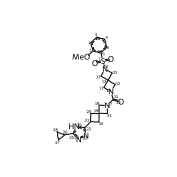 COc1ccccc1S(=O)(=O)N1CC2(CN(C(=O)N3CC4(CC(c5nnc(C6CC6)[nH]5)C4)C3)C2)C1